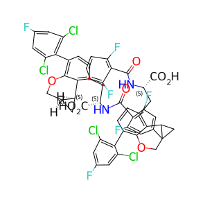 O=C(N[C@@H](Cc1ccc(-c2c(Cl)cc(F)cc2Cl)c2c1C1CC1(c1cc(F)c(C(=O)N[C@@H](Cc3ccc(-c4c(Cl)cc(F)cc4Cl)c4c3[C@H]3C[C@H]3CO4)C(=O)O)c(F)c1)CO2)C(=O)O)c1c(F)cccc1F